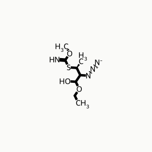 CCOC(O)C(N=[N+]=[N-])[C@H](C)SC(=N)OC